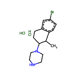 CC1c2ccc(Br)cc2CCC1N1CCNCC1.Cl.Cl